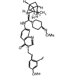 CON=C1CCN(/C(=N\[C@H]2C[C@@H]3C[C@H]([C@@H]2C)C3(C)C)Nc2ccc3c(=O)n(CCc4ccc(OC)cc4F)cnc3c2)CC1